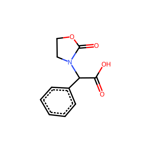 O=C(O)C(c1ccccc1)N1CCOC1=O